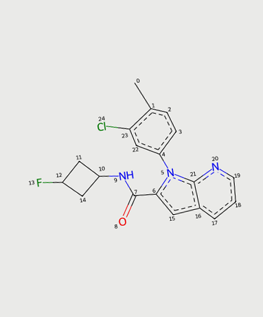 Cc1ccc(-n2c(C(=O)NC3CC(F)C3)cc3cccnc32)cc1Cl